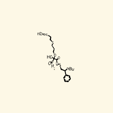 CCCCCCCCCCCCSCCCOC(O)([PH2]=O)C(=O)OSCC(CCCC)c1ccccc1